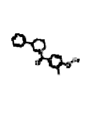 Cc1cc(C(=O)N2CCCC(c3ccccc3)C2)ccc1OC(C)C